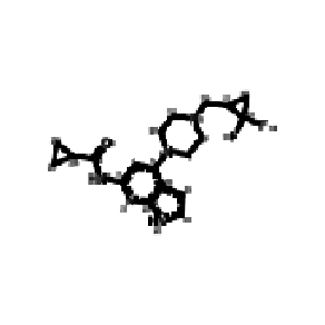 O=C(Nc1cc(N2CCN(CC3CC3(F)F)CC2)c2cc[nH]c2n1)C1CC1